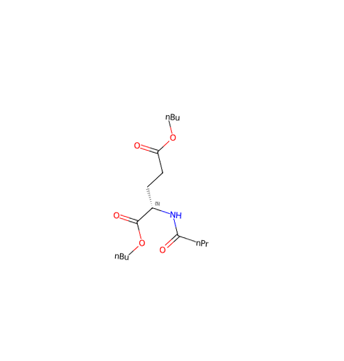 CCCCOC(=O)CC[C@H](NC(=O)CCC)C(=O)OCCCC